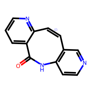 O=C1Nc2ccncc2/C=C\c2ncccc21